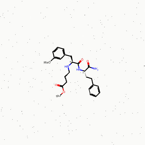 COc1cccc(C[C@H](NCCCC(=O)OC(C)(C)C)C(=O)N[C@@H](CCc2ccccc2)C(N)=O)c1